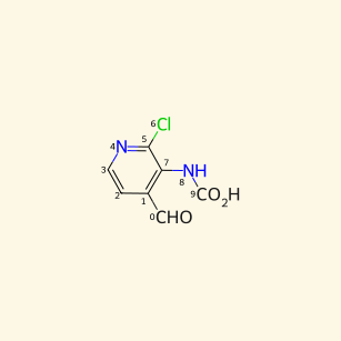 O=Cc1ccnc(Cl)c1NC(=O)O